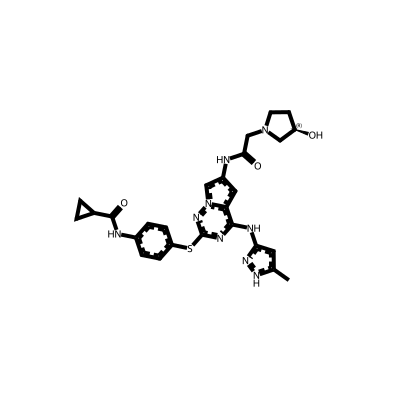 Cc1cc(Nc2nc(Sc3ccc(NC(=O)C4CC4)cc3)nn3cc(NC(=O)CN4CC[C@@H](O)C4)cc23)n[nH]1